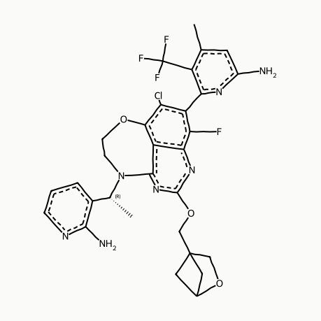 Cc1cc(N)nc(-c2c(Cl)c3c4c(nc(OCC56COC(C5)C6)nc4c2F)N([C@H](C)c2cccnc2N)CCO3)c1C(F)(F)F